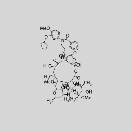 CC[C@H]1OC(=O)[C@H](C)[C@@H](O[C@H]2C[C@@](C)(OC)[C@@H](O)[C@H](C)O2)[C@H](C)[C@@H](O[C@@H]2O[C@H](C)C[C@H](N(C)C)[C@H]2O)[C@](C)(OC)C[C@@H](C)C(=O)[C@H](C)[C@H]2[C@H](SCCN(C(=O)c3ccncc3)c3ccc(OC)c(OC4CCCC4)c3)C(=O)O[C@@]21C